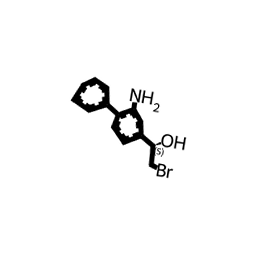 Nc1cc([C@H](O)CBr)ccc1-c1ccccc1